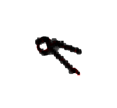 CC/C=C/C1=CCN(C(=O)CCOCCOCCOCCOCCOCCOCCOCCOCCNC(=O)O[C@@H]2C[C@@H]([C@H](N)C[C@@H]3CC[C@@H](OC(=O)NCCOCCOCCOCCOCCOCCOCCOCC)[C@H](OC)C3)OC(=O)[C@@H]3CCCCN3C(=O)C(=O)[C@]3(O)O[C@@H](CC[C@H]3C)C[C@H](OC)/C(C)=C/C=C/C=C/[C@@H](C)C[C@@H](C)C(=O)[C@H](OC)[C@H](O)/C(C)=C/[C@H]2C)CC1